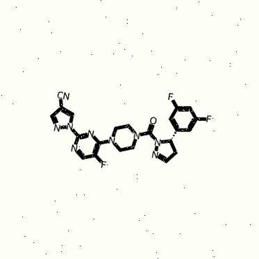 N#Cc1cnn(-c2ncc(F)c(N3CCN(C(=O)N4N=CC[C@H]4c4cc(F)cc(F)c4)CC3)n2)c1